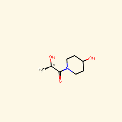 O=C([C@H](O)C(F)(F)F)N1CCC(O)CC1